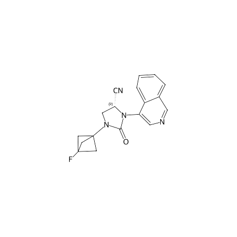 N#C[C@H]1CN(C23CC(F)(C2)C3)C(=O)N1c1cncc2ccccc12